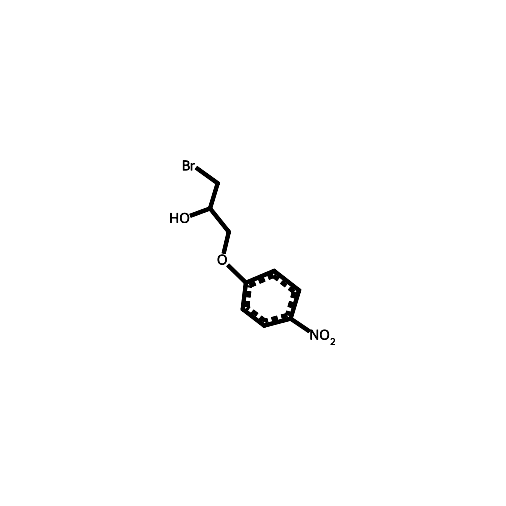 O=[N+]([O-])c1ccc(OCC(O)CBr)cc1